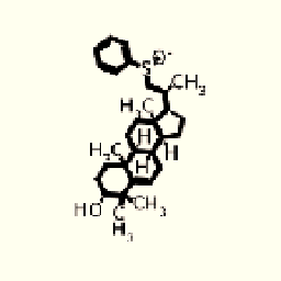 C[C@H](C[S+]([O-])c1ccccc1)[C@H]1CC[C@H]2[C@@H]3CC=C4C(C)(C)[C@@H](O)CC[C@]4(C)[C@H]3CC[C@]12C